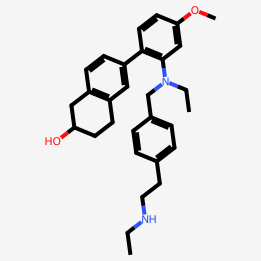 CCNCCc1ccc(CN(CC)c2cc(OC)ccc2-c2ccc3c(c2)CCC(O)C3)cc1